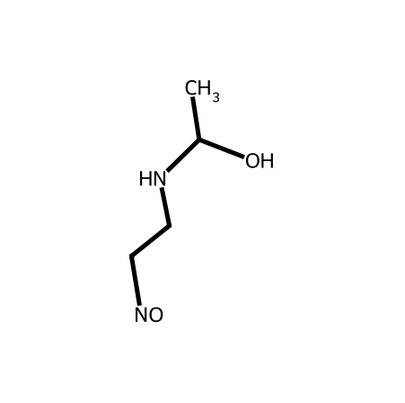 CC(O)NCCN=O